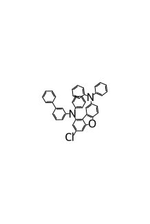 Clc1cc(N(c2ccccc2)c2cccc(-c3ccccc3)c2)c2c(c1)oc1ccc(N(c3ccccc3)c3ccccc3)cc12